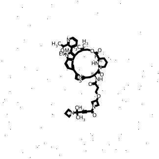 CCn1c(-c2cccnc2[C@H](C)OC)c2c3cc(ccc31)-c1csc(n1)C[C@H](NC(=O)CCOC1CN(C(=O)C#CC(C)(C)N3CCC3)C1)C(=O)N1CCC[C@H](N1)C(=O)OCC(C)(C)C2